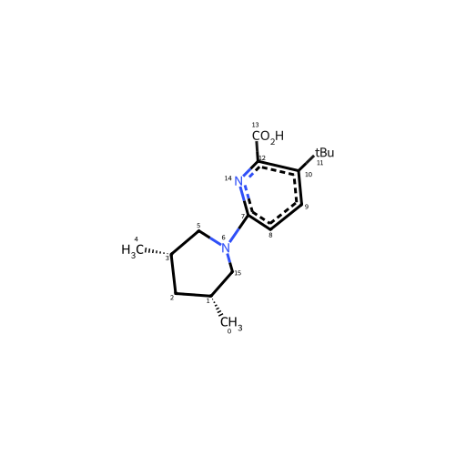 C[C@@H]1C[C@H](C)CN(c2ccc(C(C)(C)C)c(C(=O)O)n2)C1